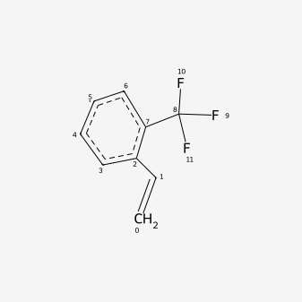 C=Cc1cc[c]cc1C(F)(F)F